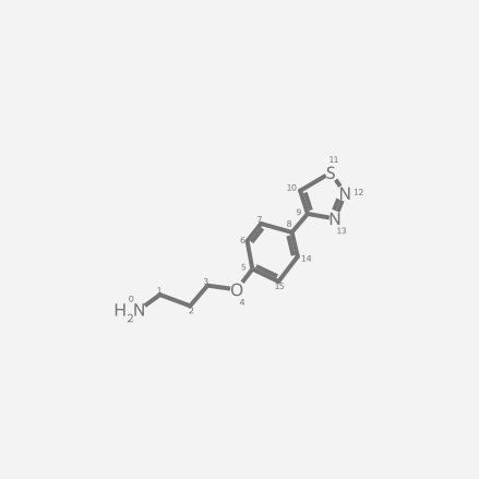 NCCCOc1ccc(-c2csnn2)cc1